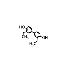 CCc1cc(-c2ccc(O)c(CC)c2)ccc1O